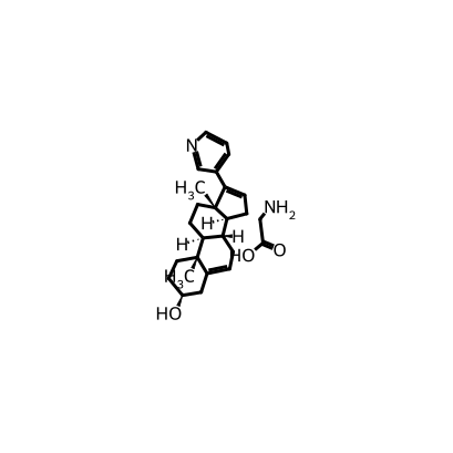 C[C@]12CC[C@H](O)CC1=CC[C@@H]1[C@@H]2CC[C@]2(C)C(c3cccnc3)=CC[C@@H]12.NCC(=O)O